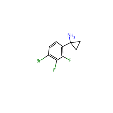 NC1(c2ccc(Br)c(F)c2F)CC1